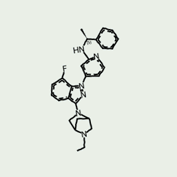 CCN1CC2CC1CN2c1nn(-c2ccnc(N[C@@H](C)c3ccccc3)c2)c2c(F)cccc12